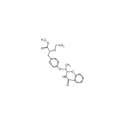 CCOC(Cc1ccc(OC(C)C2NC(=O)c3ccccc3O2)cc1)C(=O)OC